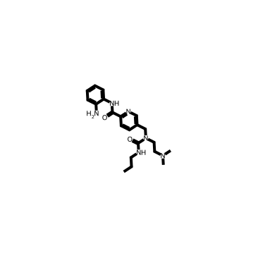 CCCNC(=O)N(CCN(C)C)Cc1ccc(C(=O)Nc2ccccc2N)nc1